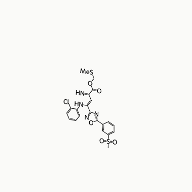 CSCOC(=O)C(=N)/C=C(\Nc1ccccc1Cl)c1noc(-c2cccc(S(C)(=O)=O)c2)n1